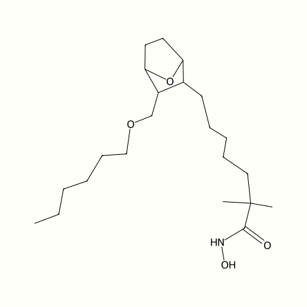 CCCCCCOCC1C2CCC(O2)C1CCCCCC(C)(C)C(=O)NO